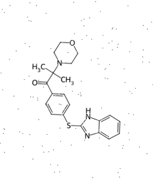 CC(C)(C(=O)c1ccc(Sc2nc3ccccc3[nH]2)cc1)N1CCOCC1